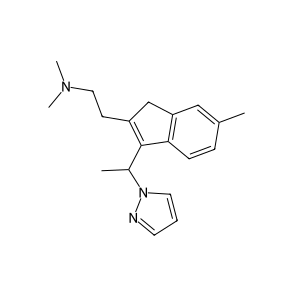 Cc1ccc2c(c1)CC(CCN(C)C)=C2C(C)n1cccn1